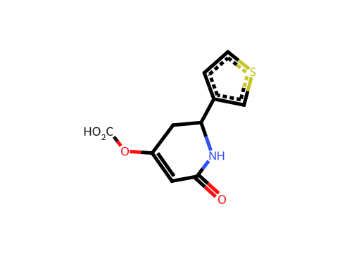 O=C1C=C(OC(=O)O)CC(c2ccsc2)N1